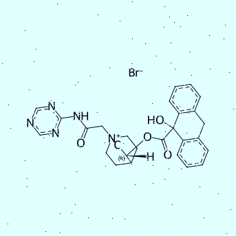 O=C(C[N+]12CCC(CC1)[C@@H](OC(=O)C1(O)c3ccccc3Cc3ccccc31)C2)Nc1ncncn1.[Br-]